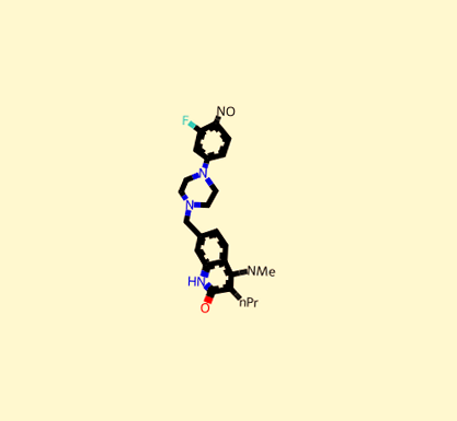 CCCc1c(NC)c2ccc(CN3CCN(c4ccc(N=O)c(F)c4)CC3)cc2[nH]c1=O